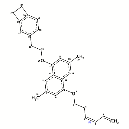 C=C/C=C\CCOc1cc(C)cc2c(OCCc3ccc4c(c3)CC4)cc(C)cc12